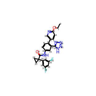 CCOc1ccc(-c2ccc(NC(=O)C3(c4cc(F)cc(F)c4)CC3)cc2-c2nnn[nH]2)cn1